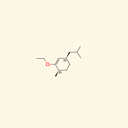 CCOC1=C[C@@H](CC(C)C)CC[C@H]1C